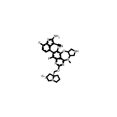 CN1c2nc(OC[C@@]34CCCN3C[C@H](F)C4)nc3c(F)c(-c4ccc(F)c5sc(N)c(C#N)c45)c(Cl)c(c23)OC2CNCC21